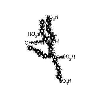 Cc1cc(Nc2nc(Nc3cc(C)c(N=Nc4ccc(N=Nc5ccccc5)cc4S(=O)(=O)O)cc3OCCCOC=O)nc(N3CCN(c4nc(Cc5ccc(N=Nc6ccc(N=Nc7ccccc7)cc6S(=O)(=O)O)c(C)c5)nc(Cc5cc(C)c(N=Nc6ccc(N=Nc7ccc(S(=O)(=O)O)cc7)cc6)cc5OCCCC(=O)O)n4)CC3)n2)ccc1N=Nc1ccc(N=Nc2ccc(S(=O)(=O)O)cc2)cc1